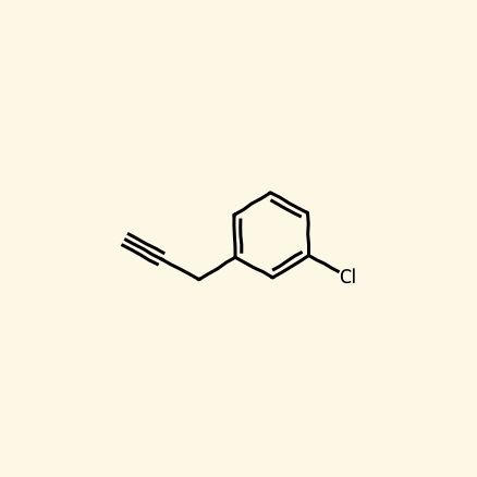 C#CCc1cccc(Cl)c1